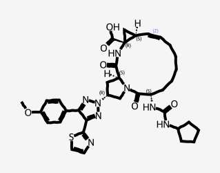 COc1ccc(-c2nn([C@@H]3C[C@H]4C(=O)N[C@]5(C(=O)O)C[C@H]5/C=C\CCCCC[C@H](NC(=O)NC5CCCC5)C(=O)N4C3)nc2-c2nccs2)cc1